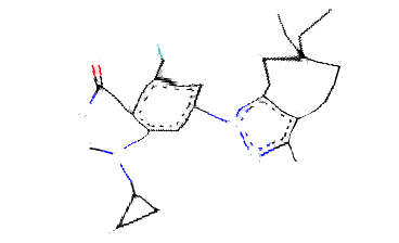 CCc1nn(-c2cc(F)c(C(N)=O)c(N(C)C3CC3)c2)c2c1CCC(C)(C)C2